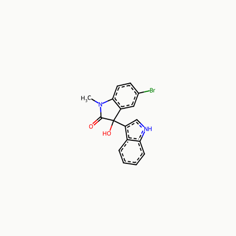 CN1C(=O)C(O)(c2c[nH]c3ccccc23)c2cc(Br)ccc21